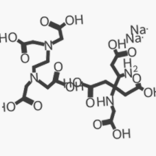 NC(CC(=O)O)C(CC(=O)O)(CC(=O)O)NCC(=O)O.O=C(O)CN(CCN(CC(=O)O)CC(=O)O)CC(=O)O.[Na].[Na]